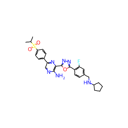 CC(C)S(=O)(=O)c1ccc(-c2cnc(N)c(-c3nnc(-c4ccc(CNC5CCCC5)cc4F)o3)n2)cc1